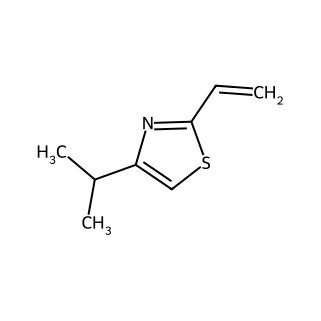 C=Cc1nc(C(C)C)cs1